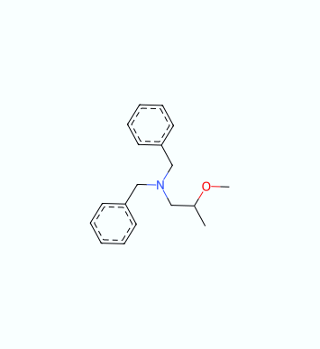 COC(C)CN(Cc1ccccc1)Cc1ccccc1